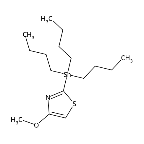 CCC[CH2][Sn]([CH2]CCC)([CH2]CCC)[c]1nc(OC)cs1